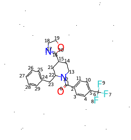 O=C(c1ccc(C(F)(F)F)cc1)N1CCC(C2=NCCO2)CC1Cc1ccccc1